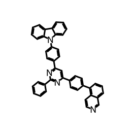 c1ccc(-c2nc(-c3ccc(-c4cccc5cnccc45)cc3)cc(-c3ccc(-n4c5ccccc5c5ccccc54)cc3)n2)cc1